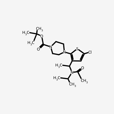 CC(=O)N(C(C)C)C(C)c1cc(Cl)sc1N1CCN(C(=O)OC(C)(C)C)CC1